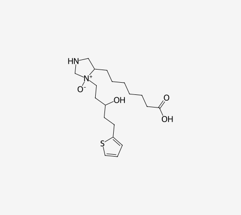 O=C(O)CCCCCCC1CNC[N+]1([O-])CCC(O)CCc1cccs1